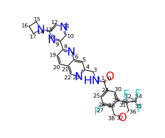 O=C(NCc1cc2nc(-c3cncc(N4CCC4)n3)ccc2cn1)c1cc(F)c2c(c1)[C@](F)(C(F)F)COC2